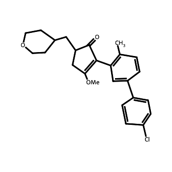 COC1=C(c2cc(-c3ccc(Cl)cc3)ccc2C)C(=O)C(CC2CCOCC2)C1